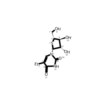 CCc1cn([C@@H]2S[C@H](CO)[C@@H](O)[C@@H]2O)c(=O)[nH]c1=O